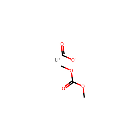 COC(=O)OC.O=C[O-].[Li+]